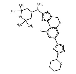 CN(c1nc2c(s1)-c1c(F)cc(-c3cnn(C4CCCCO4)n3)cc1OC2)C1CC(C)(C)NC(C)(C)C1